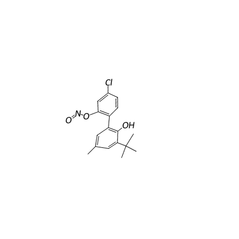 Cc1cc(-c2ccc(Cl)cc2ON=O)c(O)c(C(C)(C)C)c1